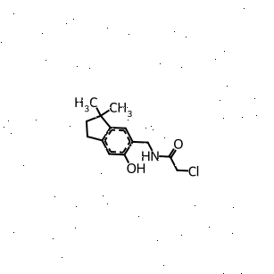 CC1(C)CCc2cc(O)c(CNC(=O)CCl)cc21